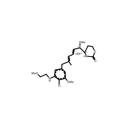 COCCNc1cc(C/C(C)=C/C=C/[C@@H](OC)[C@@]2(O)CCOC(=O)N2)cc(OC)c1Cl